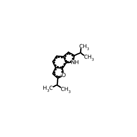 CC(C)c1cc2ccc3cc(C(C)C)oc3c2[nH]1